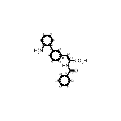 Nc1ccccc1-c1cccc(C=C(NC(=O)c2ccccc2)C(=O)O)c1